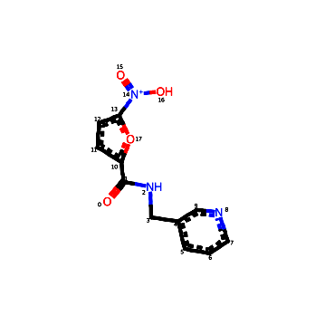 O=C(NCc1cccnc1)c1ccc([N+](=O)O)o1